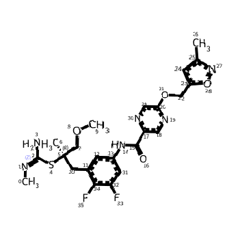 C/N=C(/N)S[C@@](C)(COC)Cc1cc(NC(=O)c2cnc(OCc3cc(C)no3)cn2)cc(F)c1F